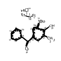 CCNCC.Cc1cc(C(=O)c2ccccc2)cc(C(C)(C)C)c1O.Cl